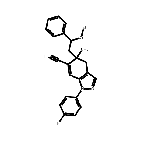 C#CC1=Cc2c(cnn2-c2ccc(F)cc2)CC1(C)CC(OCC)c1ccccc1